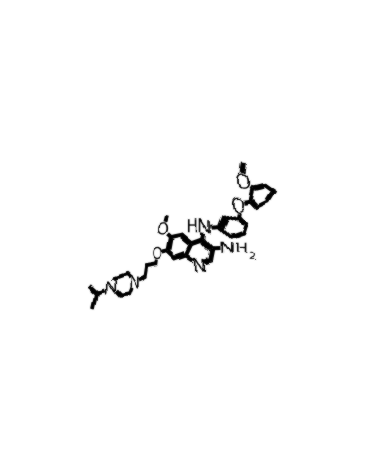 COc1cc2c(Nc3cccc(Oc4ccccc4OC)c3)c(N)cnc2cc1OCCCN1CCN(C(C)C)CC1